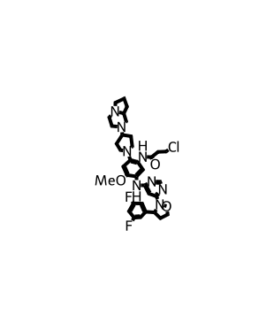 COc1cc(N2CCC(N3CCN4CCCC4C3)CC2)c(NC(=O)CCCl)cc1Nc1cc(N2OCCC2c2cc(F)cc(F)c2)ncn1